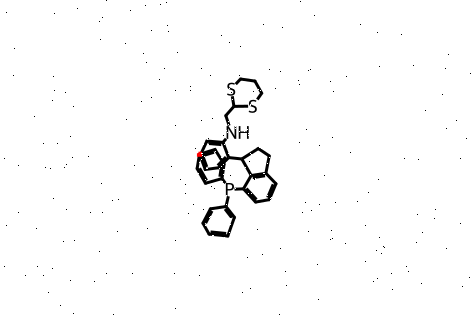 c1ccc(P(c2ccccc2)c2cccc3c2C(c2ccccc2NCC2SCCCS2)CC3)cc1